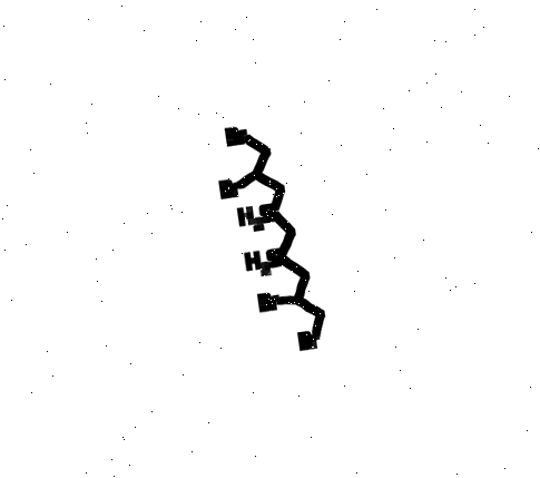 BrCC(Br)C[SiH2]C[SiH2]CC(Br)CBr